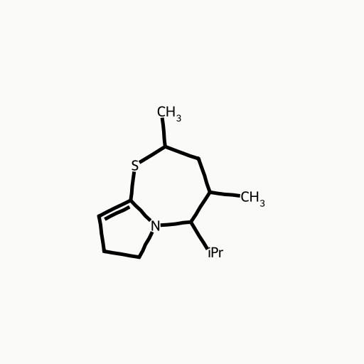 CC1CC(C)C(C(C)C)N2CCC=C2S1